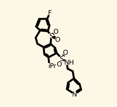 CC(C)c1cc2c(cc1S(=O)(=O)NCCc1ccncc1)S(=O)(=O)c1cc(F)ccc1CC2